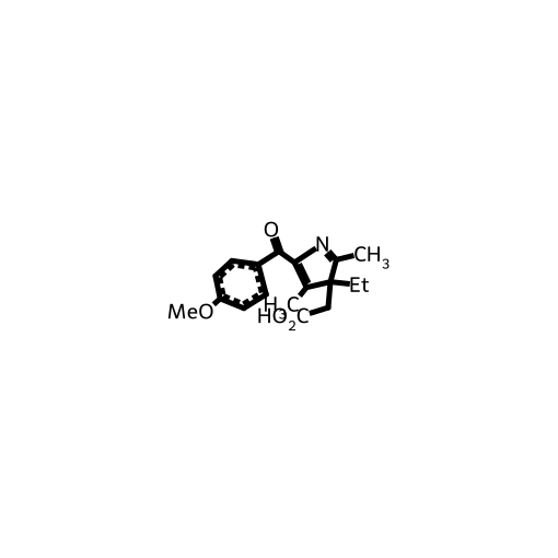 CCC1(CC(=O)O)C(C)=NC(C(=O)c2ccc(OC)cc2)=C1C